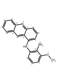 COc1cccc(Nc2cccc3nc4ccccc4cc23)c1N